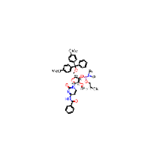 CCCCCO[C@@H]1[C@H](OP(OCCC#N)N(C(C)C)C(C)C)[C@@H](COC(c2ccccc2)(c2ccc(OC)cc2)c2ccc(OC)cc2)O[C@H]1n1ccc(NC(=O)c2ccccc2)nc1=O